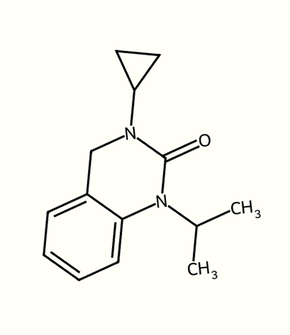 CC(C)N1C(=O)N(C2CC2)Cc2ccccc21